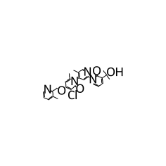 Cc1cnc(-n2cccc(C(C)(C)O)c2=O)cc1-n1c(C)cc(OCc2ncccc2C)c(Cl)c1=O